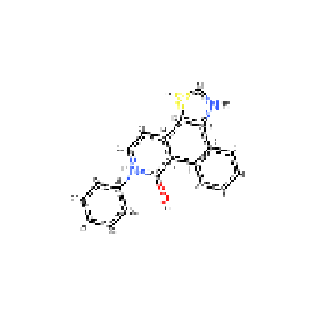 O=c1c2c3ccccc3c3ncsc3c2ccn1-c1ccccc1